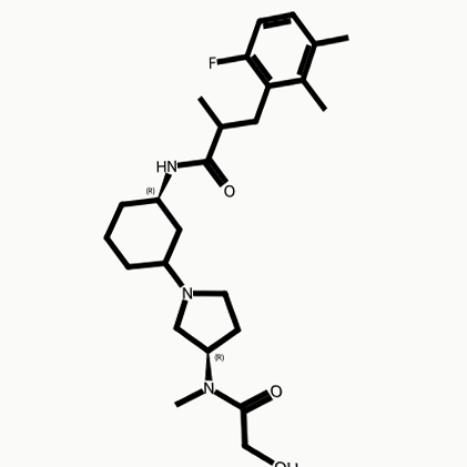 Cc1ccc(F)c(CC(C)C(=O)N[C@@H]2CCCC(N3CC[C@@H](N(C)C(=O)CO)C3)C2)c1C